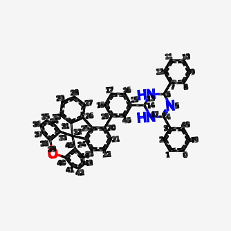 c1ccc(C2=NC(c3ccccc3)NC(c3cccc(-c4cccc5c4-c4ccccc4C54c5ccccc5Oc5ccccc54)c3)N2)cc1